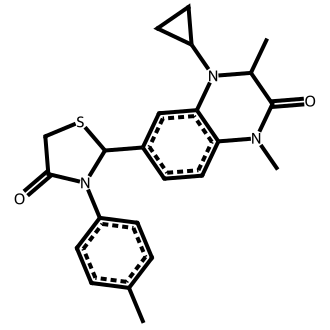 Cc1ccc(N2C(=O)CSC2c2ccc3c(c2)N(C2CC2)C(C)C(=O)N3C)cc1